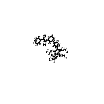 CN1C(n2cc(-c3cccc(NC(=O)c4ccncc4)c3)cn2)=C(C(F)(F)F)C(C(F)(F)C(F)(F)F)N1C